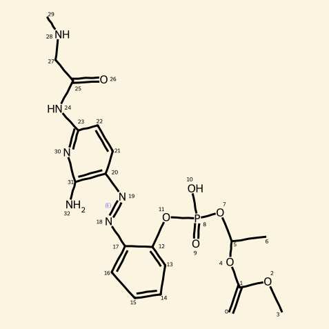 C=C(OC)OC(C)OP(=O)(O)Oc1ccccc1/N=N/c1ccc(NC(=O)CNC)nc1N